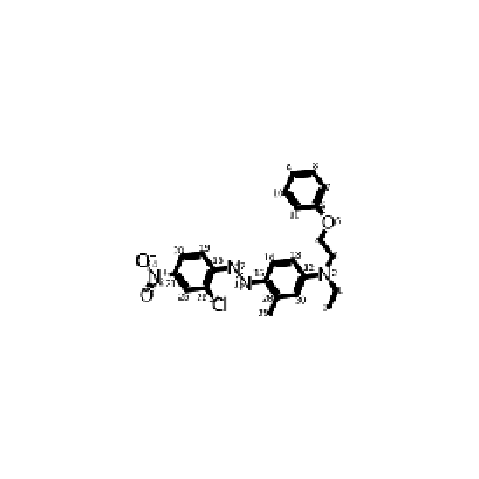 CCN(CCOc1ccccc1)c1ccc(N=Nc2ccc([N+](=O)[O-])cc2Cl)c(C)c1